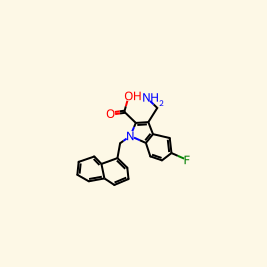 NCc1c(C(=O)O)n(Cc2cccc3ccccc23)c2ccc(F)cc12